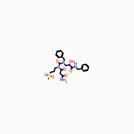 CS(=O)(=O)CCCN(C(=O)CC(N)=O)C(=O)N(Cc1ccccc1)C[C@H](O)C(=O)NCc1ccccc1